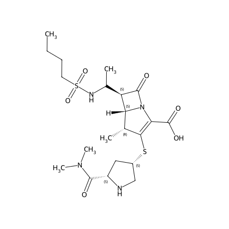 CCCCS(=O)(=O)NC(C)[C@H]1C(=O)N2C(C(=O)O)=C(S[C@@H]3CN[C@H](C(=O)N(C)C)C3)[C@H](C)[C@H]12